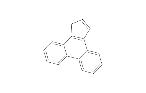 C1=Cc2c(c3ccccc3c3ccccc23)C1